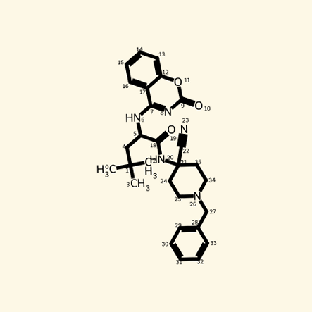 CC(C)(C)CC(Nc1nc(=O)oc2ccccc12)C(=O)NC1(C#N)CCN(Cc2ccccc2)CC1